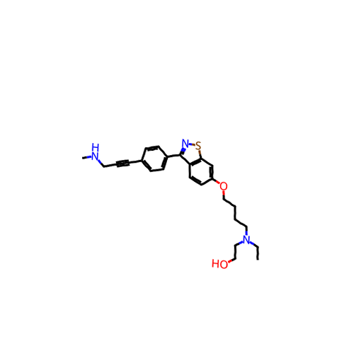 CCN(CCO)CCCCOc1ccc2c(-c3ccc(C#CCNC)cc3)nsc2c1